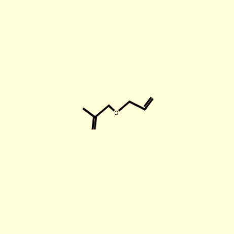 C=[C]COCC(=C)C